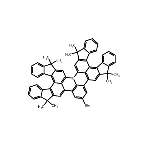 CC(C)(C)c1cc2c3c(c1)-c1cc4c(c5c6c(cc(c15)B3c1cc3c(c5c7c(cc-2c15)C(C)(C)c1ccccc1-7)-c1ccccc1C3(C)C)C(C)(C)c1ccccc1-6)-c1ccccc1C4(C)C